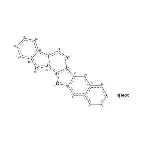 CCCCCCCc1ccc2cc3oc4c(ccc5c6ccccc6oc54)c3cc2c1